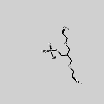 C=CCOCC(COCC=C)COP(=O)(O)O